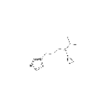 CC(C)N(CCCn1ccnc1)C1CC1